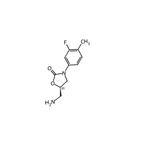 Cc1ccc(N2C[C@@H](CN)OC2=O)cc1F